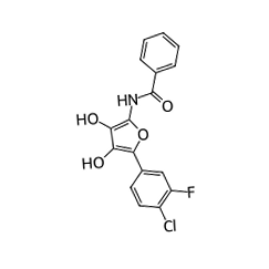 O=C(Nc1oc(-c2ccc(Cl)c(F)c2)c(O)c1O)c1ccccc1